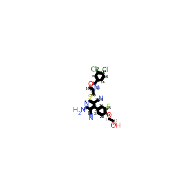 N#Cc1c(N)nc(SCc2coc(-c3ccc(Cl)c(Cl)c3)n2)c(C#N)c1-c1ccc(OCCO)c(F)c1